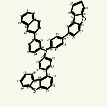 c1cc(-c2ccc3ccccc3c2)cc(N(c2ccc(-c3ccc4oc5ccccc5c4c3)cc2)c2ccc(-c3cccc4sc5ccccc5c34)cc2)c1